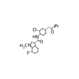 CC(C)C(=O)Cc1ccc(NC(=O)c2cn(C)c3c(F)cccc23)c(Cl)c1